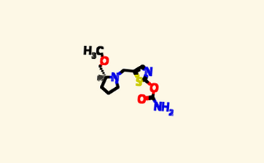 COC[C@H]1CCCN1Cc1cnc(OC(N)=O)s1